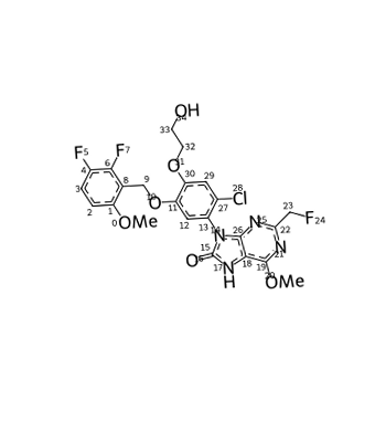 COc1ccc(F)c(F)c1COc1cc(-n2c(=O)[nH]c3c(OC)nc(CF)nc32)c(Cl)cc1OCCO